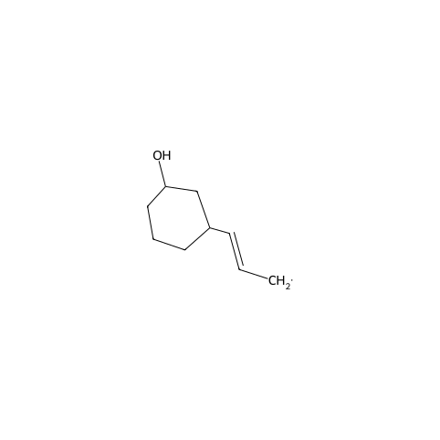 [CH2]C=CC1CCCC(O)C1